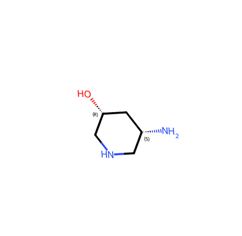 N[C@@H]1CNC[C@H](O)C1